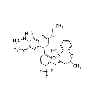 CCOC(=O)CC(c1ccc(C(F)(F)F)c(CN2CC(C)Oc3ccccc3S2(O)O)c1)c1cc(OC)c2c(c1)nnn2C